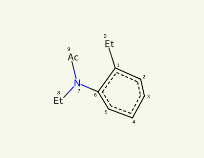 CCc1ccccc1N(CC)C(C)=O